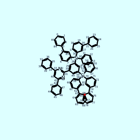 c1ccc(-c2cccc([Si](c3ccccc3)(c3cccc(-c4ccccc4)c3)c3cc(-c4nc(-c5ccccc5)cc(-c5ccccc5)n4)cc([Si](c4ccccc4)(c4cccc(-c5ccccc5)c4)c4cccc(-c5ccccc5)c4)c3)c2)cc1